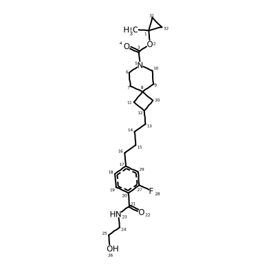 CC1(OC(=O)N2CCC3(CC2)CC(CCCCc2ccc(C(=O)NCCO)c(F)c2)C3)CC1